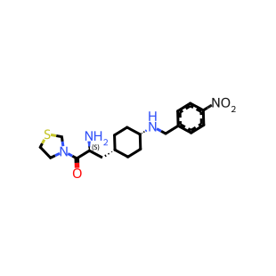 N[C@@H](C[C@H]1CC[C@@H](NCc2ccc([N+](=O)[O-])cc2)CC1)C(=O)N1CCSC1